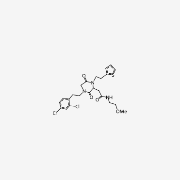 COCCNC(=O)CC1C(=O)N(CCc2ccc(Cl)cc2Cl)CC(=O)N1CCc1cccs1